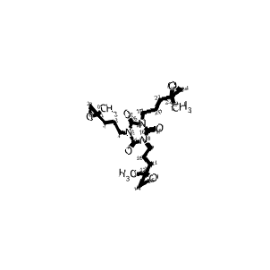 CC1(CCCn2c(=O)n(CCCC3(C)CO3)c(=O)n(CCCC3(C)CO3)c2=O)CO1